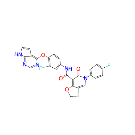 O=C(Nc1ccc(Oc2ncnc3[nH]ccc23)c(F)c1)c1c2c(cn(-c3ccc(F)cc3)c1=O)CCO2